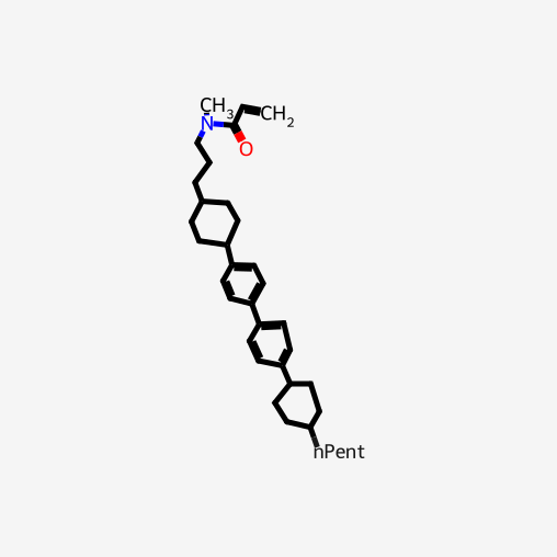 C=CC(=O)N(C)CCCC1CCC(c2ccc(-c3ccc(C4CCC(CCCCC)CC4)cc3)cc2)CC1